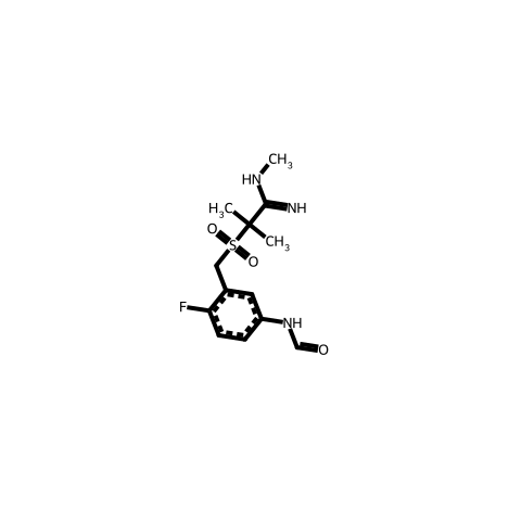 CNC(=N)C(C)(C)S(=O)(=O)Cc1cc(NC=O)ccc1F